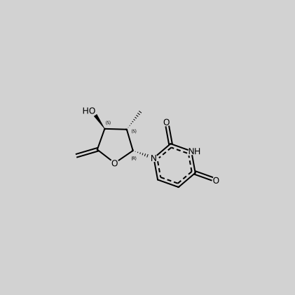 C=C1O[C@@H](n2ccc(=O)[nH]c2=O)[C@@H](C)[C@@H]1O